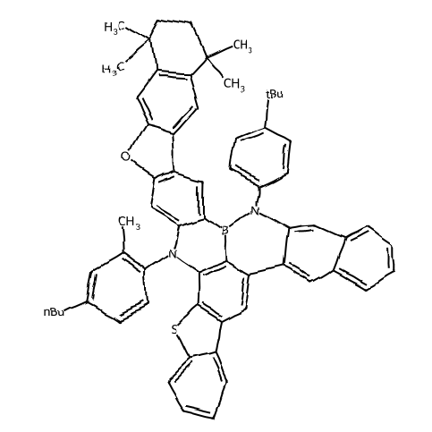 CCCCc1ccc(N2c3cc4oc5cc6c(cc5c4cc3B3c4c(cc5c(sc7ccccc75)c42)-c2cc4ccccc4cc2N3c2ccc(C(C)(C)C)cc2)C(C)(C)CCC6(C)C)c(C)c1